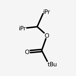 CC(C)C(OC(=O)C(C)(C)C)C(C)C